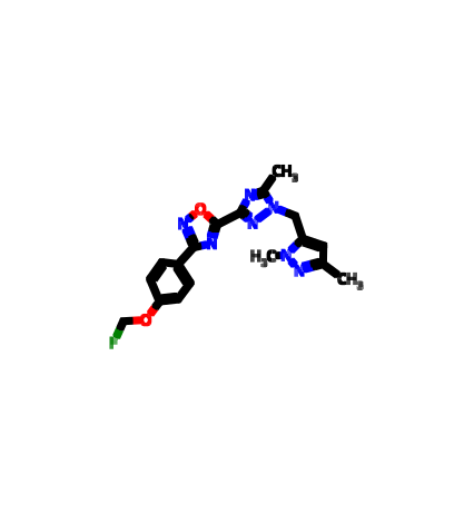 Cc1cc(Cn2nc(-c3nc(-c4ccc(OCF)cc4)no3)nc2C)n(C)n1